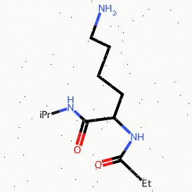 CCC(=O)NC(CCCCN)C(=O)NC(C)C